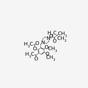 COc1cc(C(C)=O)c(OC(C)=O)c(CN2CCN(OC(=O)C(C)(C)C)CC2)c1OC